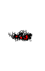 C=C1/C(=C\C=C2/CCC[C@@]3(C)C2CCC3[C@@H](C)/C=C/C(OC(=O)NC2CC(C)(C)CC(C)(NC(=O)OC3CC4OCC4(OC(C)=O)C4C(OC(=O)c5ccccc5)C5(O)CC(OC(=O)C(O)C(NC(=O)c6ccccc6)c6ccccc6)C(C)=C(C(OC(C)=O)C(=O)C34C)C5(C)C)C2)C2CC2)C[C@@H](O)C[C@@H]1O